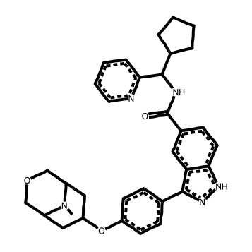 CN1C2COCC1CC(Oc1ccc(-c3n[nH]c4ccc(C(=O)NC(c5ccccn5)C5CCCC5)cc34)cc1)C2